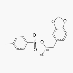 CC[C@@H](Cc1ccc2c(c1)OCO2)OS(=O)(=O)c1ccc(C)cc1